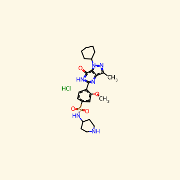 COc1cc(S(=O)(=O)NC2CCNCC2)ccc1-c1nc2c(C)nn(C3CCCCC3)c2c(=O)[nH]1.Cl